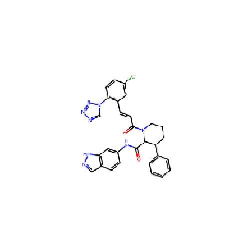 O=C(Nc1ccc2cn[nH]c2c1)C1C(c2ccccc2)CCCN1C(=O)C=Cc1cc(Cl)ccc1-n1cnnn1